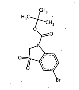 CC(C)(C)OC(=O)N1CS(=O)(=O)c2cc(Br)ccc21